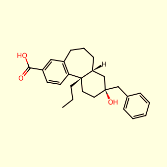 CCC[C@]12CC[C@@](O)(Cc3ccccc3)C[C@H]1CCCc1cc(C(=O)O)ccc12